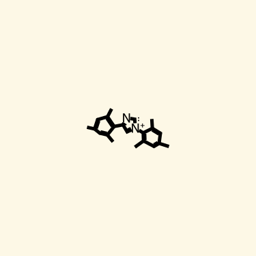 Cc1cc(C)c(C2=N[C][N+](c3c(C)cc(C)cc3C)=C2)c(C)c1